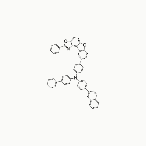 C1=CC(c2ccc(N(c3ccc(-c4ccc5ccccc5c4)cc3)c3ccc(-c4ccc5oc6ccc7oc(-c8ccccc8)nc7c6c5c4)cc3)cc2)=CCC1